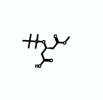 COC(=O)C[C@@H](CC(=O)O)O[Si](C)(C)C(C)(C)C